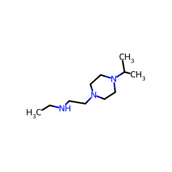 CCNCCN1CCN(C(C)C)CC1